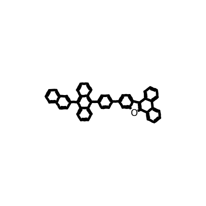 c1ccc2cc(-c3c4ccccc4c(-c4ccc(-c5ccc6c(c5)oc5c7ccccc7c7ccccc7c65)cc4)c4ccccc34)ccc2c1